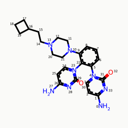 Nc1ccn(-c2cccc(N3CCN(CCC4CCC4)CC3)c2-n2ccc(N)nc2=O)c(=O)n1